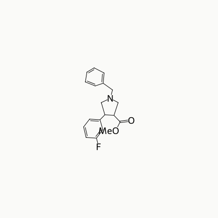 COC(=O)C1CN(Cc2ccccc2)CC1c1cccc(F)c1